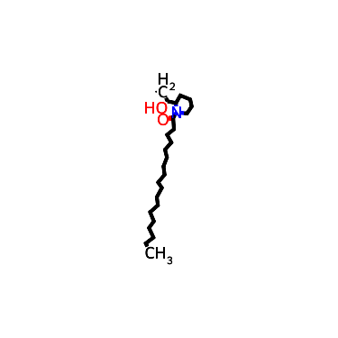 [CH2]C(O)C1CCCCN1C(=O)CCCCCCCCCCCCCCCCC